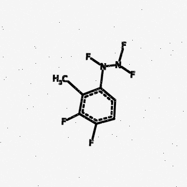 Cc1c(N(F)N(F)F)ccc(F)c1F